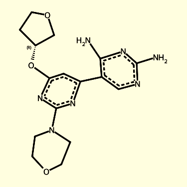 Nc1ncc(-c2cc(O[C@@H]3CCOC3)nc(N3CCOCC3)n2)c(N)n1